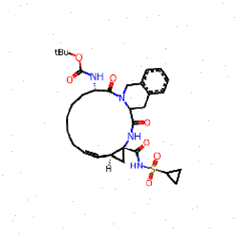 CC(C)(C)OC(=O)N[C@H]1CCCCC/C=C\[C@@H]2C[C@@]2(C(=O)NS(=O)(=O)C2CC2)NC(=O)C2Cc3ccccc3CN2C1=O